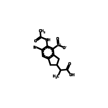 CC(=O)Nc1c(Br)cc2c(c1[N+](=O)[O-])CC(C(C)C(=O)O)C2